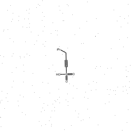 CC(C)CC#CS(=O)(=O)O